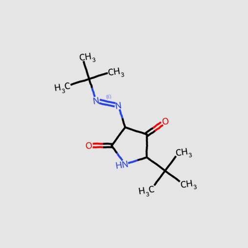 CC(C)(C)/N=N/C1C(=O)NC(C(C)(C)C)C1=O